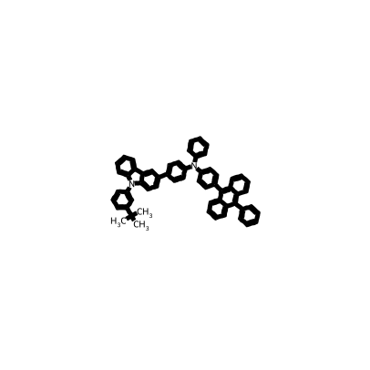 CC(C)(C)c1cccc(-n2c3ccccc3c3cc(-c4ccc(N(c5ccccc5)c5ccc(-c6c7ccccc7c(-c7ccccc7)c7ccccc67)cc5)cc4)ccc32)c1